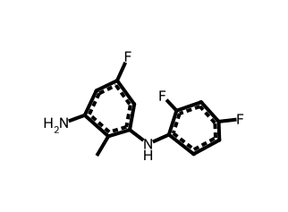 Cc1c(N)cc(F)cc1Nc1ccc(F)cc1F